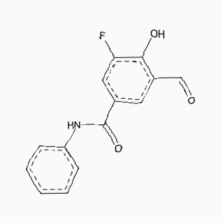 O=Cc1cc(C(=O)Nc2ccccc2)cc(F)c1O